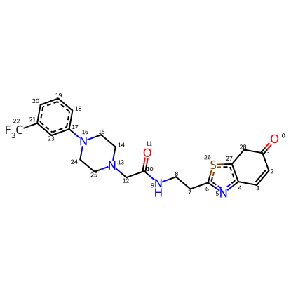 O=C1C=Cc2nc(CCNC(=O)CN3CCN(c4cccc(C(F)(F)F)c4)CC3)sc2C1